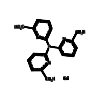 O=C(O)c1cccc(P(c2cccc(C(=O)O)n2)c2cccc(C(=O)O)n2)n1.[Gd]